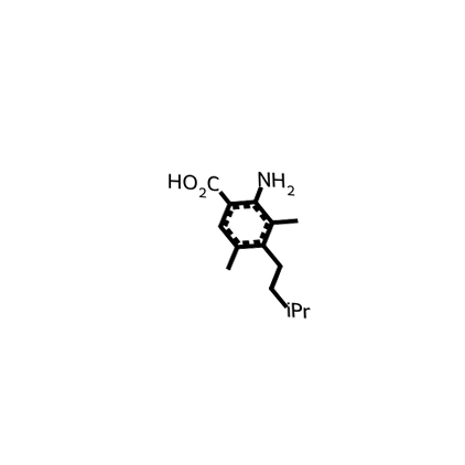 Cc1cc(C(=O)O)c(N)c(C)c1CCC(C)C